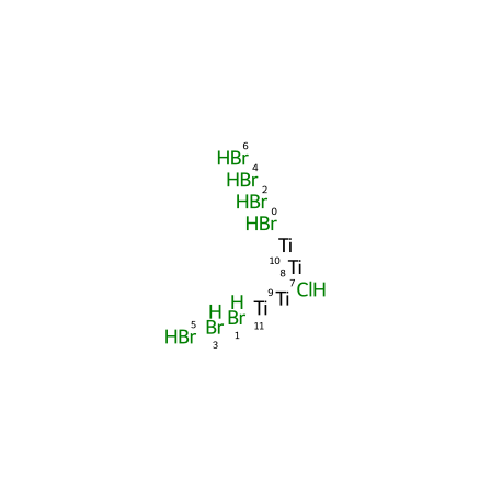 Br.Br.Br.Br.Br.Br.Br.Cl.[Ti].[Ti].[Ti].[Ti]